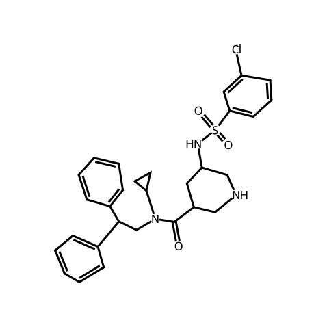 O=C(C1CNCC(NS(=O)(=O)c2cccc(Cl)c2)C1)N(CC(c1ccccc1)c1ccccc1)C1CC1